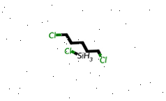 ClCCCCCCl.[SiH3]Cl